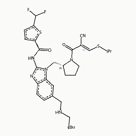 CC(C)S/C=C(\C#N)C(=O)N1CCC[C@@H]1Cn1c(NC(=O)c2ccc(C(F)F)s2)nc2ccc(CNCC(C)(C)C)cc21